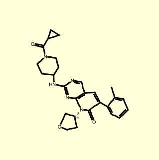 Cc1ccccc1-c1cc2cnc(NC3CCN(C(=O)C4CC4)CC3)nc2n([C@@H]2CCOC2)c1=O